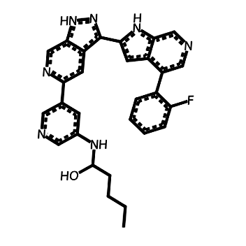 CCCCC(O)Nc1cncc(-c2cc3c(-c4cc5c(-c6ccccc6F)cncc5[nH]4)n[nH]c3cn2)c1